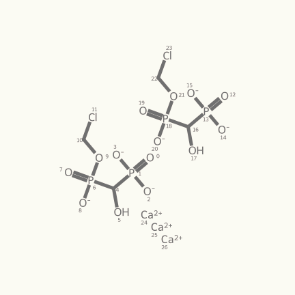 O=P([O-])([O-])C(O)P(=O)([O-])OCCl.O=P([O-])([O-])C(O)P(=O)([O-])OCCl.[Ca+2].[Ca+2].[Ca+2]